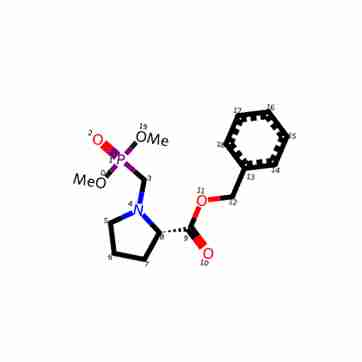 COP(=O)(CN1CCC[C@H]1C(=O)OCc1ccccc1)OC